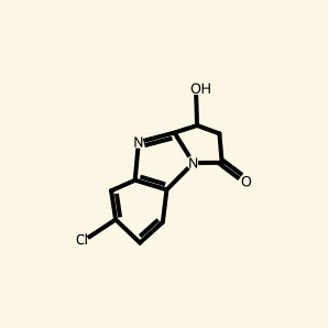 O=C1CC(O)c2nc3cc(Cl)ccc3n21